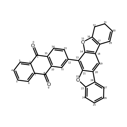 O=C1c2ccccc2C(=O)c2cc(-c3c4oc5c(c4cc4c3oc3ccccc34)C=CCC5)ccc21